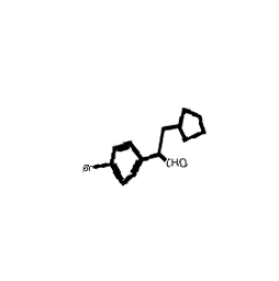 O=CC(CC1CCCC1)c1ccc(Br)cc1